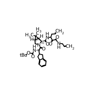 C=CCNC(=O)C(=O)C(CC=C)NC(=O)[C@@H]1[C@H]2[C@@H](CN1C(=O)[C@@H](NC(=O)OC(C)(C)C)C1Cc3ccccc3C1)C2(C)C